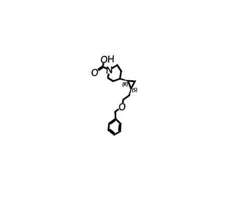 O=C(O)N1CCC([C@H]2C[C@H]2CCOCc2ccccc2)CC1